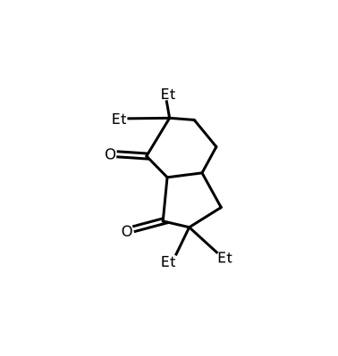 CCC1(CC)CCC2CC(CC)(CC)C(=O)C2C1=O